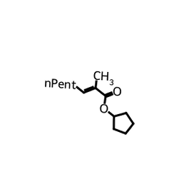 CCCCCC=C(C)C(=O)OC1CCCC1